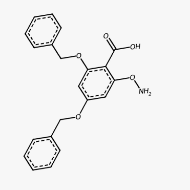 NOc1cc(OCc2ccccc2)cc(OCc2ccccc2)c1C(=O)O